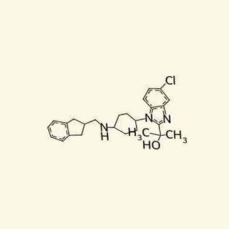 CC(C)(O)c1nc2cc(Cl)ccc2n1C1CCC(NCC2Cc3ccccc3C2)CC1